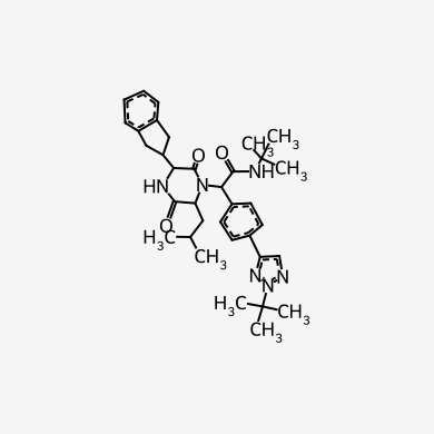 CC(C)CC1C(=O)NC(C2Cc3ccccc3C2)C(=O)N1C(C(=O)NC(C)(C)C)c1ccc(-c2cnn(C(C)(C)C)n2)cc1